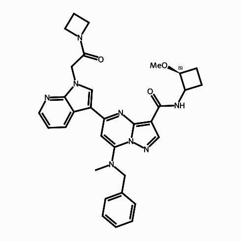 CO[C@H]1CCC1NC(=O)c1cnn2c(N(C)Cc3ccccc3)cc(-c3cn(CC(=O)N4CCC4)c4ncccc34)nc12